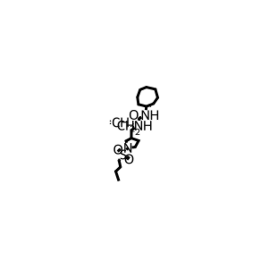 CCCCS(=O)(=O)N1CCC(CNC(=O)N[C]2CCCCCCC2)C1.[CH2].[CH2]